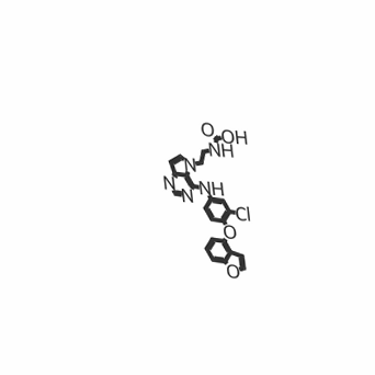 O=C(O)NCCn1ccc2ncnc(Nc3ccc(Oc4cccc5occc45)c(Cl)c3)c21